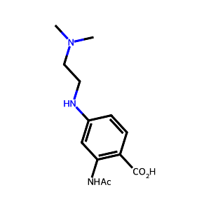 CC(=O)Nc1cc(NCCN(C)C)ccc1C(=O)O